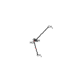 CCCCCCCCCCCCCC/C=C/C(O)C(CO)NC(=O)C(O)CCCCCCCCCCCCCCCCCCCCCC